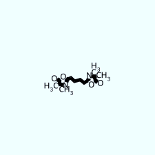 CC1(C)N=C(CCCCC2=NC(C)(C)C(=O)O2)OC1=O